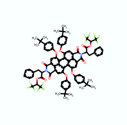 CC(C)(C)c1ccc(Oc2cc3c4c(cc(Oc5ccc(C(C)(C)C)cc5)c5c6c(Oc7ccc(C(C)(C)C)cc7)cc7c8c(cc(Oc9ccc(C(C)(C)C)cc9)c(c2c45)c86)C(=O)N(C(Cc2ccccc2)C(=O)OC(C(F)(F)F)C(F)(F)F)C7=O)C(=O)N(C(Cc2ccccc2)C(=O)OC(C(F)(F)F)C(F)(F)F)C3=O)cc1